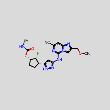 CC(C)NC(=O)O[C@H]1CC[C@@H](c2cc(Nc3nc(C#N)cc4nc(COC(F)(F)F)cn34)n[nH]2)[C@H]1F